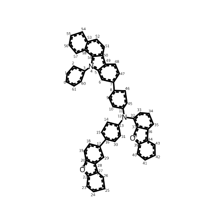 c1ccc(-n2c3cc(-c4ccc(N(c5ccc(-c6ccc7oc8ccccc8c7c6)cc5)c5cccc6c5oc5ccccc56)cc4)ccc3c3ccc4ccccc4c32)cc1